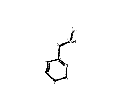 CC(C)NCC1=NCCC=C1